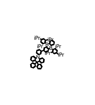 CC(C)c1cc(C(C)C)c(B2c3ccccc3B(c3c(C(C)C)cc(C(C)C)cc3C(C)C)c3cc(-c4cccc(N5c6ccccc6C(c6ccccc6)(c6ccccc6)c6ccccc65)c4)ccc32)c(C(C)C)c1